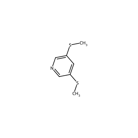 CSc1cncc(SC)c1